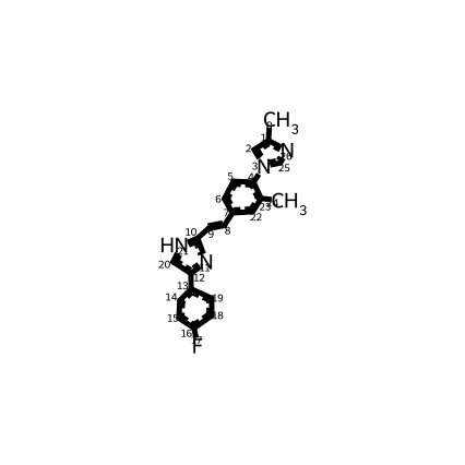 Cc1cn(-c2ccc(/C=C/c3nc(-c4ccc(F)cc4)c[nH]3)cc2C)cn1